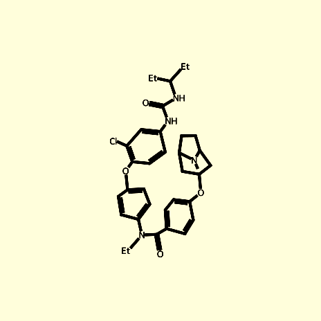 CCC(CC)NC(=O)Nc1ccc(Oc2ccc(N(CC)C(=O)c3ccc(OC4CC5CCC(C4)N5C)cc3)cc2)c(Cl)c1